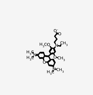 CCN(CCCC(=O)[O-])c1cc(OC)c(-c2c3ccc(=[N+](C)C)cc-3oc3cc(N(C)C)ccc23)cc1OC